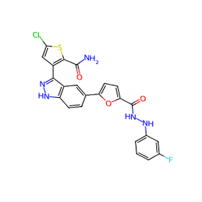 NC(=O)c1sc(Cl)cc1-c1n[nH]c2ccc(-c3ccc(C(=O)NNc4cccc(F)c4)o3)cc12